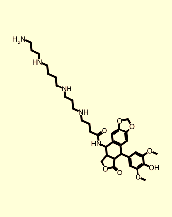 COc1cc(C2c3cc4c(cc3C(NC(=O)CCCNCCCNCCCCNCCCN)C3COC(=O)C23)OCO4)cc(OC)c1O